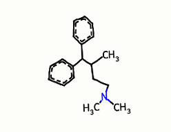 CC(CCN(C)C)C(c1ccccc1)c1ccccc1